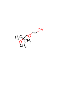 COC(C)(C)COCCO